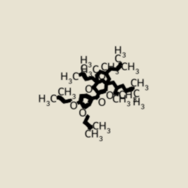 CC(C)=CCOc1ccc(C(=O)C2=C3OC(C)(C)C(CC=C(C)C)CC34CC(CC=C(C)C)C(C)(C)CC(CC=C(C)C)(C2=O)C4=O)cc1OCC=C(C)C